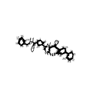 Nc1ncc(-c2cccc(C(=O)NCc3ccccc3)c2)nc1C(=O)c1ccc(-c2ccccc2)cc1